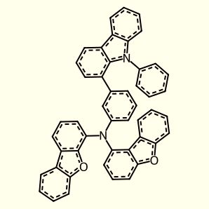 c1ccc(-n2c3ccccc3c3cccc(-c4cccc(N(c5cccc6c5oc5ccccc56)c5cccc6oc7ccccc7c56)c4)c32)cc1